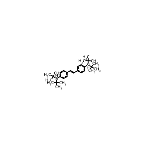 CC(C)(C)[SiH](c1ccc(C=Cc2ccc([SiH](C(C)(C)C)C(C)(C)C)cc2)cc1)C(C)(C)C